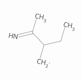 [CH2]C(CC)C(C)=N